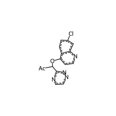 CC(=O)C(Oc1ccnc2cc(Cl)ccc12)c1nccnn1